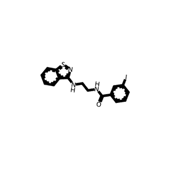 O=C(NCCNc1nsc2ccccc12)c1cccc(I)c1